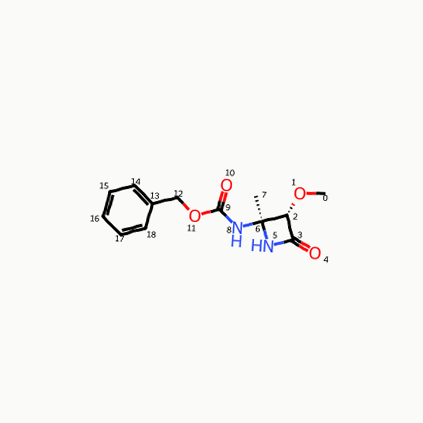 CO[C@@H]1C(=O)N[C@@]1(C)NC(=O)OCc1ccccc1